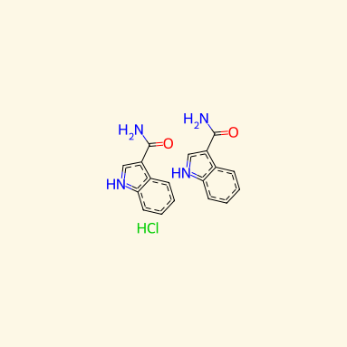 Cl.NC(=O)c1c[nH]c2ccccc12.NC(=O)c1c[nH]c2ccccc12